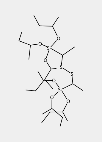 CCC(C)O[Si](OC(C)CC)(OC(C)CC)C(C)SSC(C)[Si](OC(C)CC)(OC(C)CC)OC(C)CC